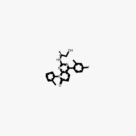 Cc1cc(F)ccc1-c1nc(N[C@@H](C)CO)nc2c1ccc(=O)n2-c1ccccc1C